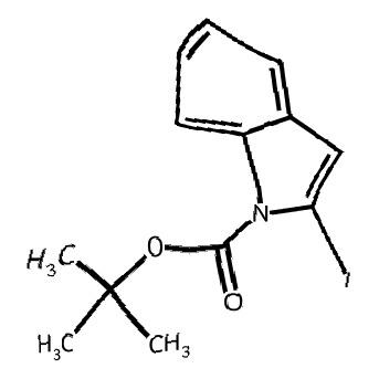 CC(C)(C)OC(=O)n1c(I)cc2ccccc21